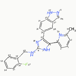 Cc1cccc(-c2[nH]c(NCc3ccccc3F)nc2-c2ccc3[nH]ncc3c2)n1